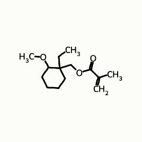 C=C(C)C(=O)OCC1(CC)CCCCC1OC